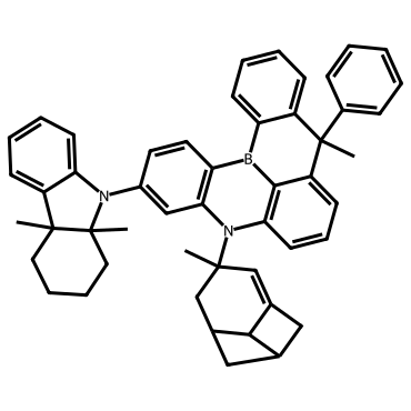 CC1(c2ccccc2)c2ccccc2B2c3ccc(N4c5ccccc5C5(C)CCCCC45C)cc3N(C3(C)C=C4CC5CC(C3)C45)c3cccc1c32